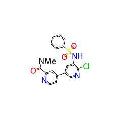 CNC(=O)c1cc(-c2cnc(Cl)c(NS(=O)(=O)c3ccccc3)c2)ccn1